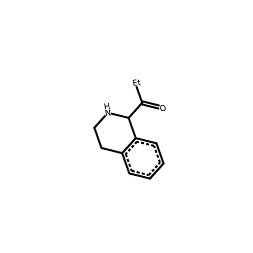 CCC(=O)C1NCCc2ccccc21